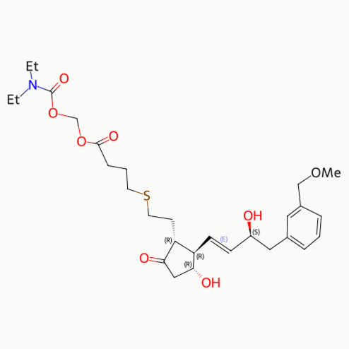 CCN(CC)C(=O)OCOC(=O)CCCSCC[C@H]1C(=O)C[C@@H](O)[C@@H]1/C=C/[C@@H](O)Cc1cccc(COC)c1